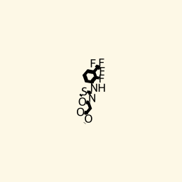 COC(=O)CC(=O)N=C(Nc1cccc(C(F)(F)F)c1F)SC